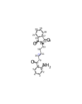 Nc1ccccc1C(=O)C/C=C/CCN1C(=O)c2ccccc2C1=O